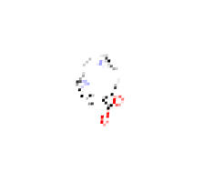 O=C1OC2CC/C=C/CC/C=C/CCC12